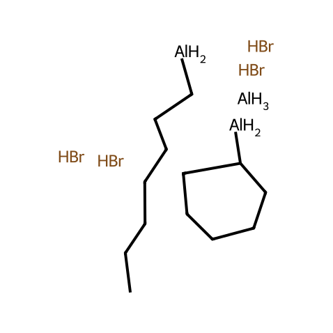 Br.Br.Br.Br.CCCCCC[CH2][AlH2].[AlH2][CH]1CCCCC1.[AlH3]